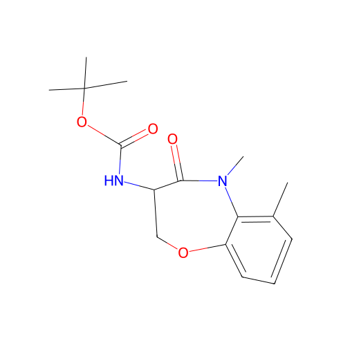 Cc1cccc2c1N(C)C(=O)C(NC(=O)OC(C)(C)C)CO2